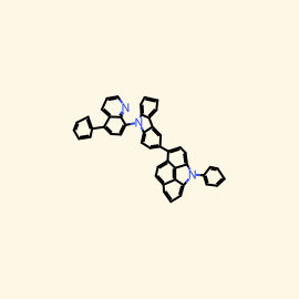 c1ccc(-c2ccc(-n3c4ccccc4c4cc(-c5ccc6c7c5ccc5cccc(c57)n6-c5ccccc5)ccc43)c3ncccc23)cc1